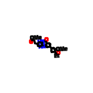 CCC(=O)c1ccc(-c2ccc3c(c2)Nc2ccc(CCC(=O)OC)cc2NC3=O)cc1OC